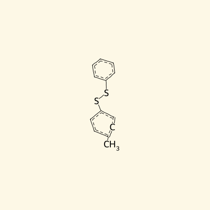 Cc1ccc(SSc2ccccc2)cc1